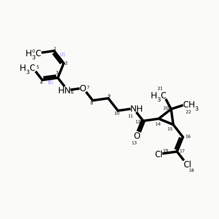 C/C=C\C(=C/C)NOCCCNC(=O)C1C(C=C(Cl)Cl)C1(C)C